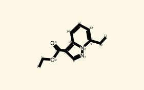 CCOC(=O)c1cnn2c(CC)cccc12